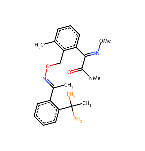 CNC(=O)/C(=N/OC)c1cccc(C)c1CO/N=C(\C)c1ccccc1C(C)(P)P